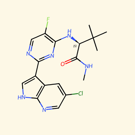 CNC(=O)[C@@H](Nc1nc(-c2c[nH]c3ncc(Cl)cc23)ncc1F)C(C)(C)C